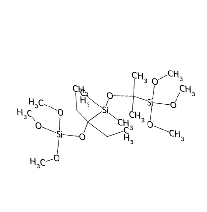 CCC(CC)(O[Si](OC)(OC)OC)[Si](C)(C)OC(C)(C)[Si](OC)(OC)OC